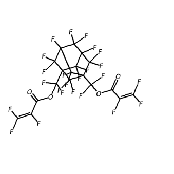 O=C(OC(F)(F)C12C(F)(F)C3(F)C(F)(F)C(F)(C1(F)F)C(F)(F)C(C(F)(F)OC(=O)C(F)=C(F)F)(C3(F)F)C2(F)F)C(F)=C(F)F